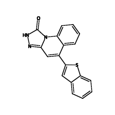 O=c1[nH]nc2cc(-c3cc4ccccc4s3)c3ccccc3n12